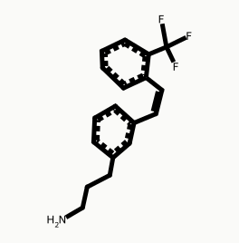 NCCCc1cccc(/C=C\c2ccccc2C(F)(F)F)c1